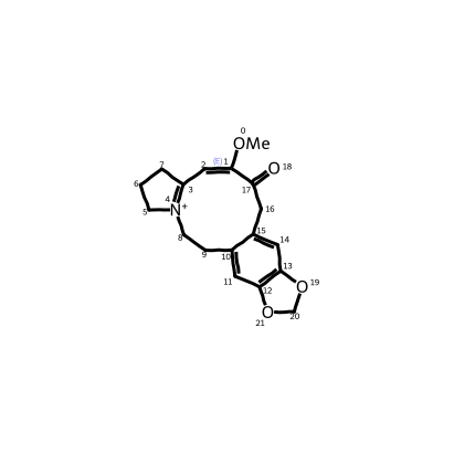 CO/C1=C/C2=[N+](CCC2)CCc2cc3c(cc2CC1=O)OCO3